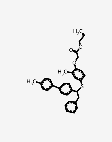 C=CCOC(=O)COc1ccc(SC(Cc2ccccc2)c2ccc(-c3ccc(C)cc3)cc2)cc1C